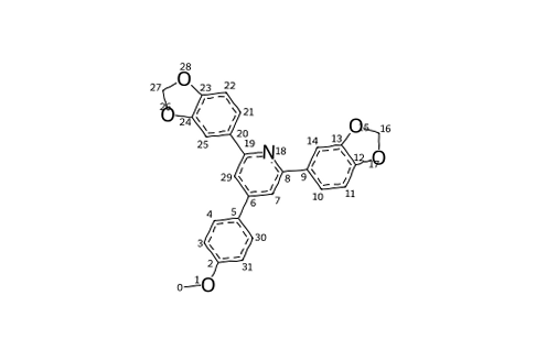 COc1ccc(-c2cc(-c3ccc4c(c3)OCO4)nc(-c3ccc4c(c3)OCO4)c2)cc1